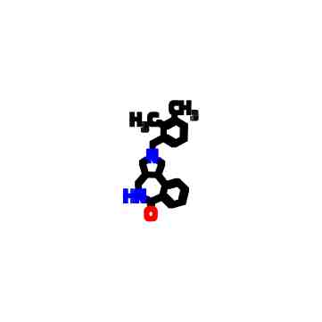 Cc1cccc(CN2CC3CNC(=O)c4ccccc4C3C2)c1C